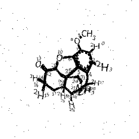 [2H]c1c([2H])c2c3c(c1OC)OC1C(=O)C([2H])([2H])C[C@@]4([2H])[C@H](N(C)CC[C@]314)C2([2H])[2H]